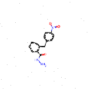 NNC(=O)c1ccccc1Cc1ccc([N+](=O)[O-])cc1